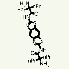 CCCC(N)(CCC)C(=O)Nc1nc2cc3nc(NC(=O)C(N)(CCC)CCC)sc3cc2s1